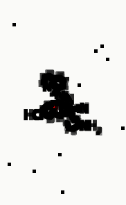 Cl.N#Cc1c(N2CCCC(N)C2)n(Cc2ccccc2)c2c(=O)n(Cc3cccc4cccnc34)cnc12